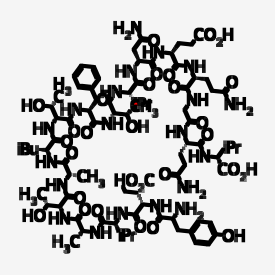 CC[C@H](C)[C@H](NC(=O)[C@H](C)NC(=O)[C@@H](NC(=O)[C@H](C)NC(=O)[C@@H](NC(=O)[C@H](CCC(=O)O)NC(=O)[C@@H](N)Cc1ccc(O)cc1)C(C)C)[C@@H](C)O)C(=O)N[C@H](C(=O)N[C@@H](Cc1ccccc1)C(=O)N[C@H](C(=O)N[C@H](C(=O)N[C@@H](CC(N)=O)C(=O)N[C@@H](CCC(=O)O)C(=O)N[C@@H](CCC(N)=O)C(=O)NCC(=O)N[C@@H](CCC(N)=O)C(=O)N[C@H](C(=O)O)C(C)C)C(C)C)[C@@H](C)O)[C@@H](C)O